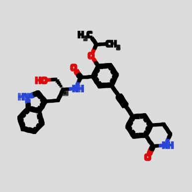 CC(C)Oc1ccc(C#Cc2ccc3c(c2)CCNC3=O)cc1C(=O)N[C@@H](CO)Cc1c[nH]c2ccccc12